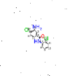 Nc1cc(C(=O)Nc2ccccc2Cl)ccc1Cl